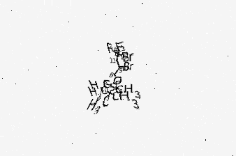 CC(C)(C)[Si](C)(C)OCC(Br)CC(F)(F)Br